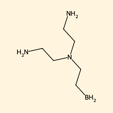 BCCN(CCN)CCN